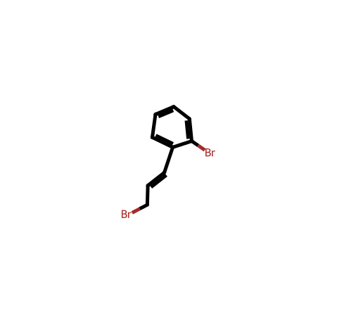 BrCC=Cc1ccccc1Br